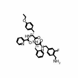 CCOc1ccc(C[C@@H](NC(=O)c2ccccn2)C(=O)N[C@@H](Cc2ccccc2)C(=O)NCc2ccc(CN)c(F)c2)cc1